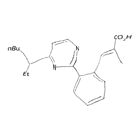 CCCCC(CC)c1ccnc(-c2ccccc2C=C(C)C(=O)O)n1